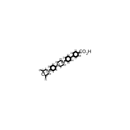 CC1CN(c2ccc(N3CCN(c4ccc(-c5ccc(C(=O)O)cc5)cc4)CC3)cc2)CC(C)O1